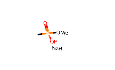 COP(C)(=O)O.[NaH]